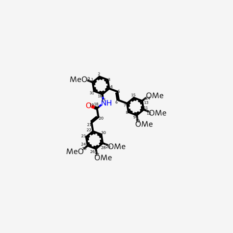 COc1ccc(/C=C/c2cc(OC)c(OC)c(OC)c2)c(NC(=O)/C=C/c2cc(OC)c(OC)c(OC)c2)c1